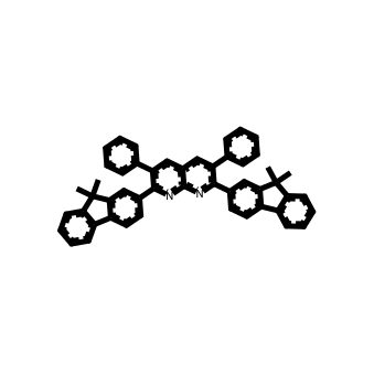 CC1(C)c2ccccc2-c2ccc(-c3nc4nc(-c5ccc6c(c5)C(C)(C)c5ccccc5-6)c(-c5ccccc5)cc4cc3-c3ccccc3)cc21